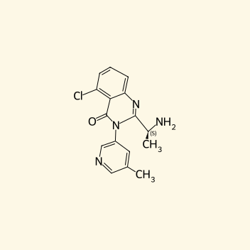 Cc1cncc(-n2c([C@H](C)N)nc3cccc(Cl)c3c2=O)c1